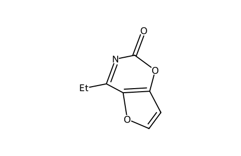 CCc1nc(=O)oc2ccoc12